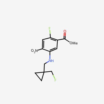 COC(=O)c1cc(NCC2(CF)CC2)c([N+](=O)[O-])cc1F